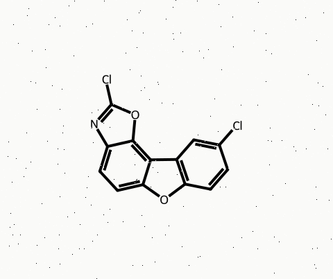 Clc1ccc2oc3ccc4nc(Cl)oc4c3c2c1